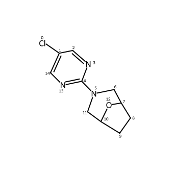 Clc1cnc(N2CC3CCC(C2)O3)nc1